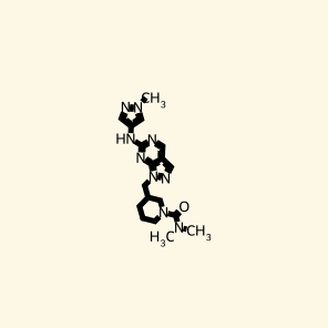 CN(C)C(=O)N1CCCC(Cn2ncc3cnc(Nc4cnn(C)c4)nc32)C1